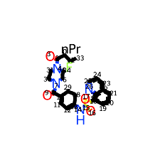 CCCC(C(=O)N1CCN(C(=O)C2=CC=C(NS(=O)(=O)c3cccc4cccnc34)CC2)CC1)C(C)F